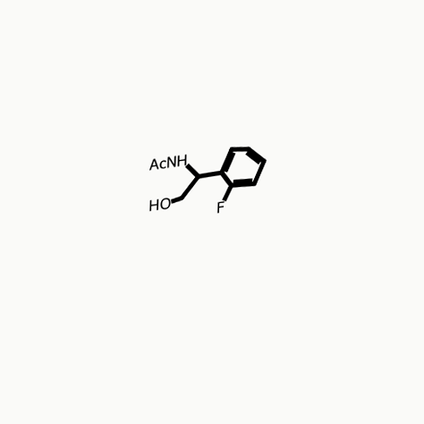 CC(=O)NC(CO)c1ccccc1F